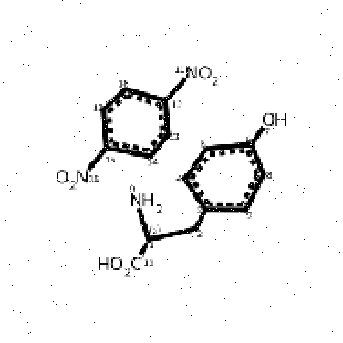 N[C@@H](Cc1ccc(O)cc1)C(=O)O.O=[N+]([O-])c1ccc([N+](=O)[O-])cc1